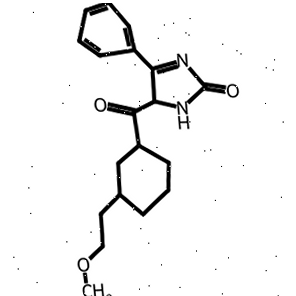 COCCC1CCCC(C(=O)C2NC(=O)N=C2c2ccccc2)C1